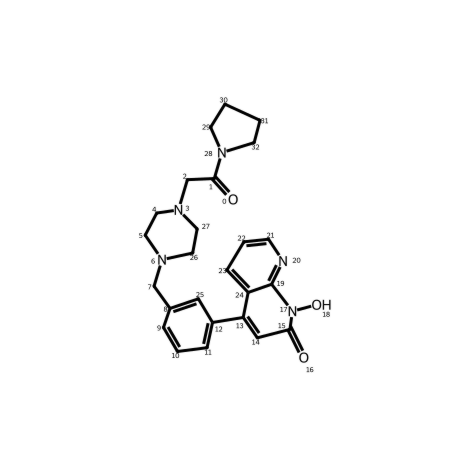 O=C(CN1CCN(Cc2cccc(-c3cc(=O)n(O)c4ncccc34)c2)CC1)N1CCCC1